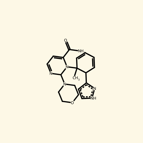 CC1(N2C(C(N)=O)=CC=NC2N2CCOCC2)C=CC=CC1c1cc[nH]n1